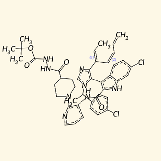 C=C/C=C\C(=C/C)c1ncn(C(C)c2ccc(Cl)cc2)c1-c1c(C(=O)Nc2cccnc2N2CCC(C(=O)NNC(=O)OC(C)(C)C)CC2)[nH]c2cc(Cl)ccc12